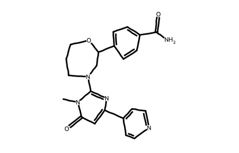 Cn1c(N2CCCOC(c3ccc(C(N)=O)cc3)C2)nc(-c2ccncc2)cc1=O